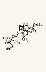 CN1C[C@H]2[C@@H](N1CCOC(C)(C)C(=O)OC(C)(C)C)C(F)(F)CN2C(=O)OC(C)(C)C